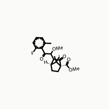 COC(=O)[C@@]12CC[C@@H](C(C(OC)C(=O)c3c(C)cccc3F)C1=O)C2(C)I